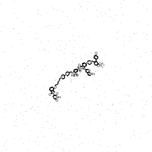 CC1(C)CCC(CN2CCN(c3ccc(C(=O)NS(=O)(=O)c4ccc(NCC5CCN(C6CCN(CCCCCOc7cccc8c7CN(C7CCC(=O)NC7=O)C8=O)CC6)CC5)c([N+](=O)[O-])c4)c(Oc4cnc5[nH]ccc5c4)c3)CC2)=C(c2ccc(Cl)cc2)C1